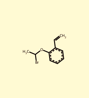 C=Cc1ccccc1OC(C)Br